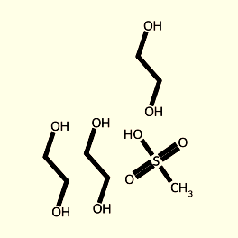 CS(=O)(=O)O.OCCO.OCCO.OCCO